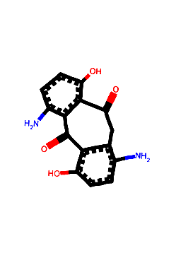 Nc1ccc(O)c2c1CC(=O)c1c(O)ccc(N)c1C2=O